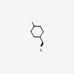 C/N=C/C1CCC(C)CC1